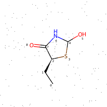 CC[C@@H]1SC(O)NC1=O